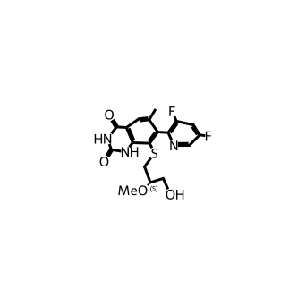 CO[C@@H](CO)CSc1c(-c2ncc(F)cc2F)c(C)cc2c(=O)[nH]c(=O)[nH]c12